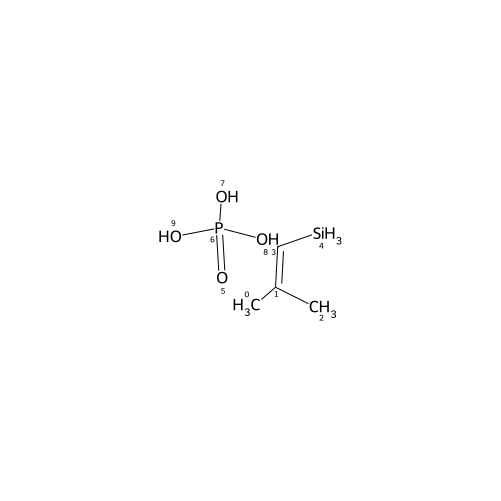 CC(C)=C[SiH3].O=P(O)(O)O